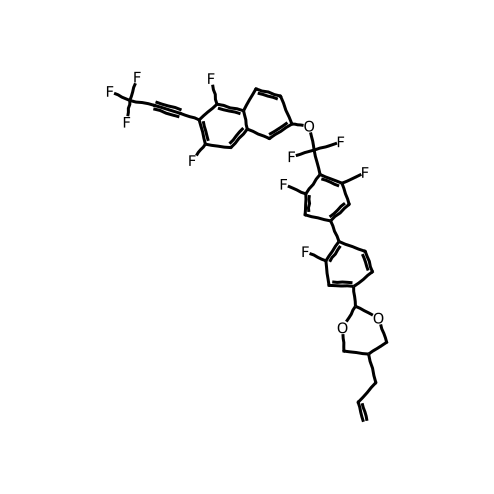 C=CCC1COC(c2ccc(-c3cc(F)c(C(F)(F)Oc4ccc5c(F)c(C#CC(F)(F)F)c(F)cc5c4)c(F)c3)c(F)c2)OC1